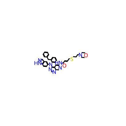 O=C(C=CCSCCCN1CCOCC1)Nc1cc2c(N(c3ccc4[nH]ncc4c3)c3ccccc3Cc3ccccc3)ncnc2cn1